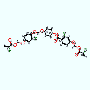 C=C(F)C(=O)OCOc1ccc(OCOC2CCC(OC(=O)c3ccc(OCOC(=O)C(=C)F)cc3F)CC2)c(F)c1